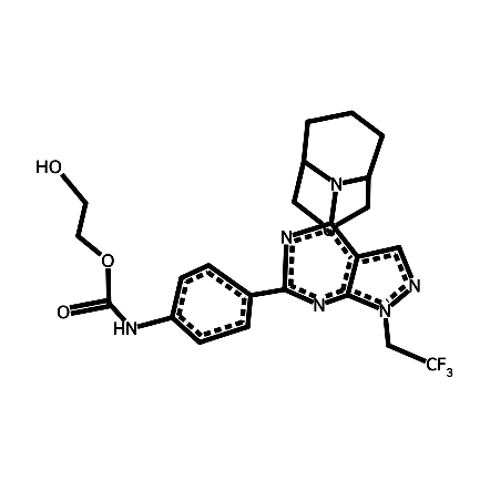 O=C(Nc1ccc(-c2nc(N3C4CCCC3COC4)c3cnn(CC(F)(F)F)c3n2)cc1)OCCO